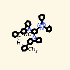 Cc1ccccc1-c1ccc2c(c1)c1ccccc1n2-c1cc(-c2nc(-c3ccccc3)nc(-c3ccccc3)n2)cc(-n2c3ccccc3c3cc(-c4ccccc4C)ccc32)c1C#N